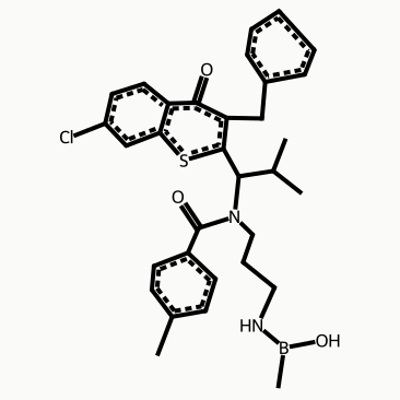 CB(O)NCCCN(C(=O)c1ccc(C)cc1)C(c1sc2cc(Cl)ccc2c(=O)c1Cc1ccccc1)C(C)C